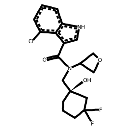 O=C(c1c[nH]c2cccc(Cl)c12)N(C[C@@]1(O)CCCC(F)(F)C1)C1COC1